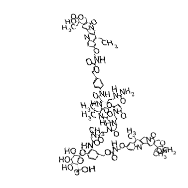 C=C1OCc2c(cc3n(c2=O)Cc2c-3nc3ccc(OCNC(=O)OCc4ccc(O[C@@H]5O[C@H](C(=O)O)[C@@H](O)[C@H](O)[C@H]5O)c(NC(=O)CN(C)C(=O)CCNC(=O)CN(CCN5C(=O)C=CC5=O)CC(=O)N[C@H](C(=O)N[C@@H](CCCNC(N)=O)C(=O)Nc5ccc(COC(=O)NCOc6ccc7nc8c(c(CC)c7c6)Cn6c-8cc7c(c6=O)COC(=O)[C@]7(O)CC)cc5)C(C)C)c4)cc3c2CC)[C@@]1(O)CC